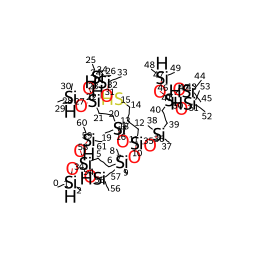 C[SiH](C)O[Si](CC[Si](C)(C)O[Si](CCCS)(O[Si](C)(C)CC[Si](O[SiH](C)C)(O[SiH](C)C)O[SiH](C)C)O[Si](C)(C)CC[Si](O[SiH](C)C)(O[SiH](C)C)O[SiH](C)C)(O[SiH](C)C)O[SiH](C)C